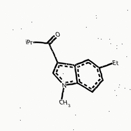 CCc1ccc2c(c1)c(C(=O)C(C)C)cn2C